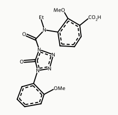 CCN(C(=O)n1nnn(-c2ccccc2OC)c1=O)c1cccc(C(=O)O)c1OC